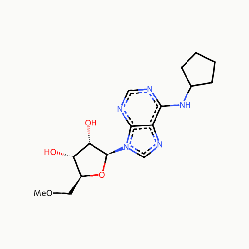 COC[C@@H]1O[C@H](n2cnc3c(NC4CCCC4)ncnc32)[C@@H](O)[C@H]1O